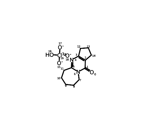 O=c1c2c(nc3n1CCCCC3)CCC2.[O-][Cl+3]([O-])([O-])O